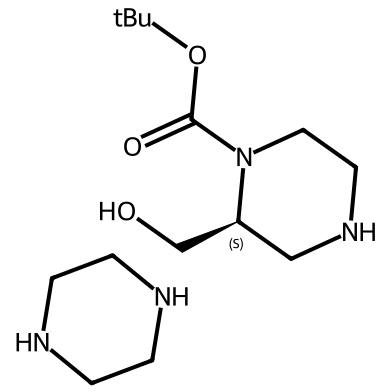 C1CNCCN1.CC(C)(C)OC(=O)N1CCNC[C@H]1CO